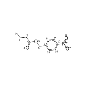 CCCC(=O)O[CH]c1ccc([N+](=O)[O-])cc1